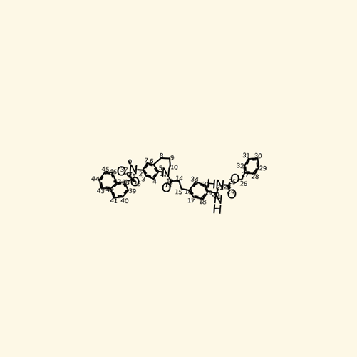 CN(c1ccc2c(c1)CCCN2C(=O)CCc1ccc(C(=N)NC(=O)OCc2ccccc2)cc1)S(=O)(=O)c1cccc2ccccc12